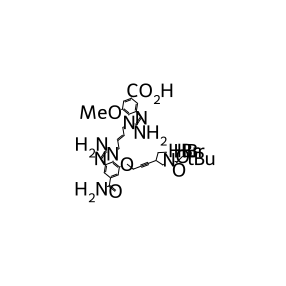 Br.Br.COc1cc(C(=O)O)cc2nc(N)n(CC=CCn3c(N)nc4cc(C(N)=O)cc(OCC#CC5CCN(C(=O)OC(C)(C)C)C5)c43)c12